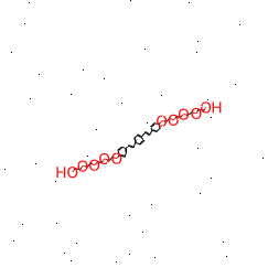 OCCOCCOCCOCCOc1ccc(/C=C/c2ccc(/C=C/C3=CCC(OCCOCCOCCOCCO)C=C3)cc2)cc1